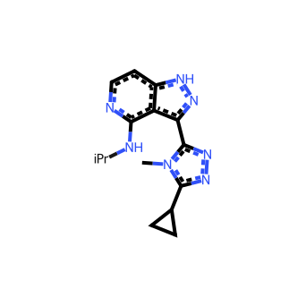 CC(C)Nc1nccc2[nH]nc(-c3nnc(C4CC4)n3C)c12